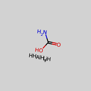 NC(=O)O.[AlH3].[HH].[LiH]